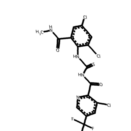 CNC(=O)c1cc(Cl)cc(Cl)c1NC(=S)NC(=O)c1ncc(C(F)(F)F)cc1Cl